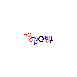 CC(C)(C)ONc1ccc(NCC(=O)O)cc1